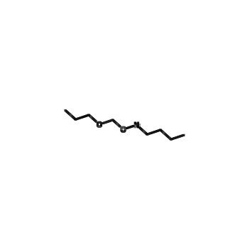 CCCC[N]OCOCCC